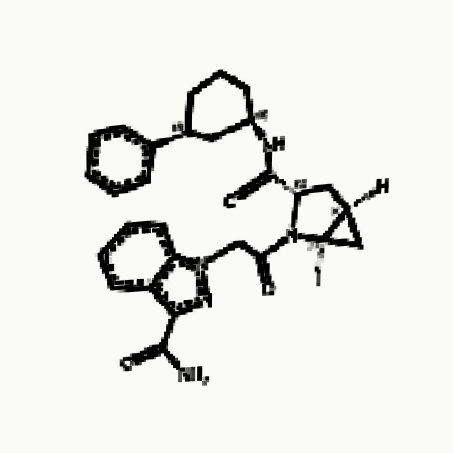 NC(=O)c1nn(CC(=O)N2[C@@H]3C[C@@H]3C[C@H]2C(=O)N[C@@H]2CCC[C@H](c3ccccc3)C2)c2ccccc12